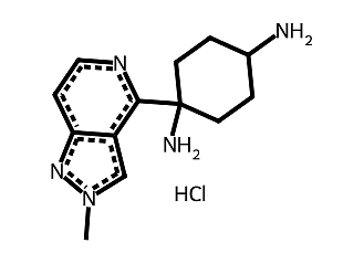 Cl.Cn1cc2c(C3(N)CCC(N)CC3)nccc2n1